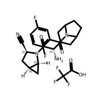 N#C[C@@H]1C[C@@H]2C[C@@H]2N1C(=O)[C@@H](N)C1CC2CCC(C1)N2C(=O)c1cc(F)ccc1F.O=C(O)C(F)(F)F